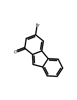 O=C1C=C(Br)C=C2C1=Cc1ccccc12